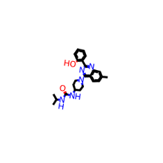 Cc1ccc2c(N3CCC(NC(=O)NC(C)C)CC3)nc(-c3ccccc3O)nc2c1